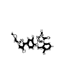 COCn1cc(Cl)c(-c2ccc(OCc3c(C)cccc3-n3nnn(C)c3=O)c(C)c2)n1